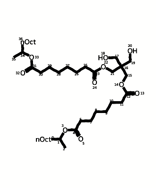 CCCCCCCCC(C)OC(=O)CCCCCCC(=O)OCC(CO)(CO)COC(=O)CCCCCCC(=O)OC(C)CCCCCCCC